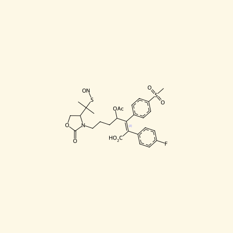 CC(=O)OC(CCCN1C(=O)OCC1C(C)(C)SN=O)/C(=C(\C(=O)O)c1ccc(F)cc1)c1ccc(S(C)(=O)=O)cc1